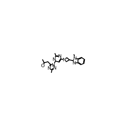 CC(=O)Cc1nc(C)nn1-c1cc(N2CC(c3nc4ccccc4n3C)C2)nc(C)n1